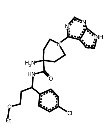 CCOCCC(NC(=O)C1(N)CCN(c2ncnc3[nH]ccc23)CC1)c1ccc(Cl)cc1